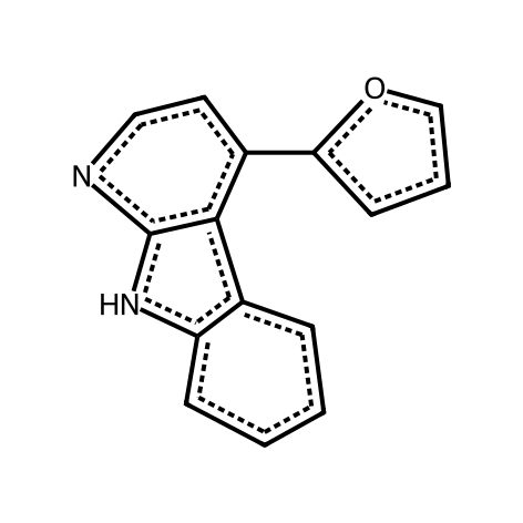 c1coc(-c2ccnc3[nH]c4ccccc4c23)c1